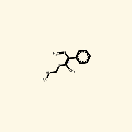 C=N/C(=C(/C)SCNC)c1ccccc1